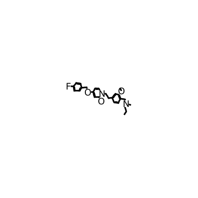 CCCN(C)Cc1ccc(CCn2ccc(OCc3ccc(F)cc3)cc2=O)cc1OC